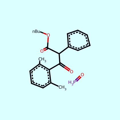 CCCCOC(=O)C(C(=O)c1c(C)cccc1C)c1ccccc1.O=[PH3]